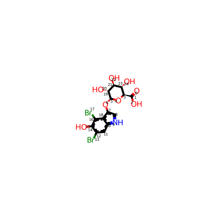 O=C(O)[C@H]1O[C@@H](Oc2c[nH]c3cc(Br)c(O)c(Br)c23)[C@H](O)[C@@H](O)[C@@H]1O